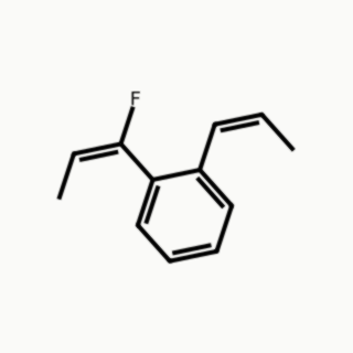 C/C=C\c1ccccc1/C(F)=C\C